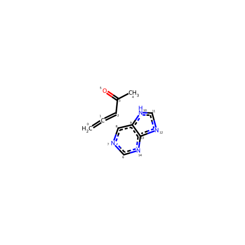 C=C=CC(C)=O.c1ncc2[nH]cnc2n1